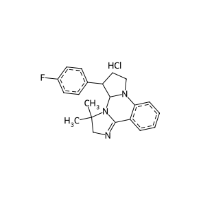 CC1(C)CN=C2c3ccccc3N3CCC(c4ccc(F)cc4)C3N21.Cl